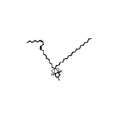 CCCCC/C=C\C/C=C\CCCCCCCCC1(CCCCCCCCCCCCCCCCCC)O[C@H]2C[C@H](C)C[C@H]2O1